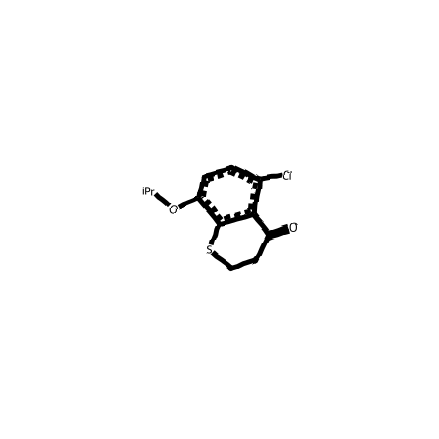 CC(C)Oc1ccc(Cl)c2c1SCCC2=O